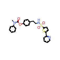 CN(C(=O)Oc1ccc(CCNS(=O)(=O)c2ccc(-c3ccccn3)s2)cc1)c1ccccc1